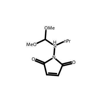 CCC[SiH](C(OC)OC)N1C(=O)C=CC1=O